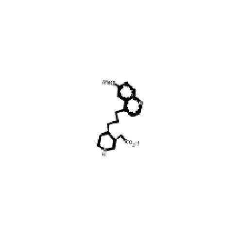 COc1ccc2nccc(CCC[C@@H]3CCNC[C@@H]3CC(=O)O)c2c1